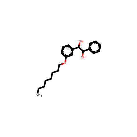 CCCCCCCCOc1cccc(C(O)C(O)c2ccccc2)c1